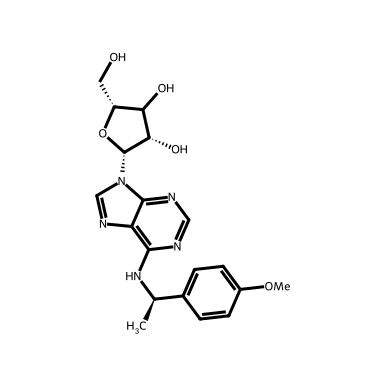 COc1ccc([C@@H](C)Nc2ncnc3c2ncn3[C@@H]2O[C@H](CO)C(O)[C@@H]2O)cc1